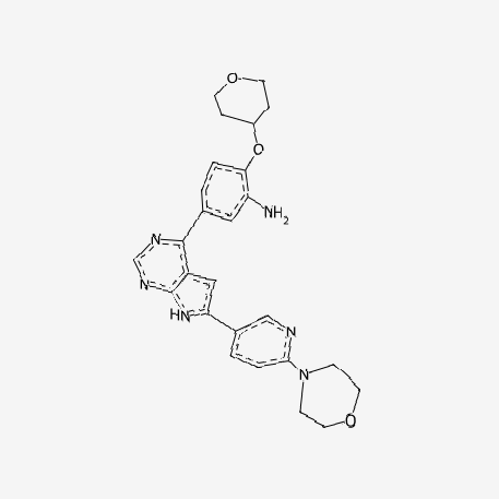 Nc1cc(-c2ncnc3[nH]c(-c4ccc(N5CCOCC5)nc4)cc23)ccc1OC1CCOCC1